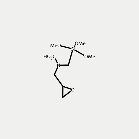 CO[Si](CN(CC1CO1)C(=O)O)(OC)OC